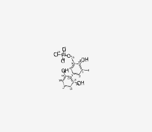 Cc1cccc(C)c1O.O=P(Cl)(Cl)Cl.Oc1cccc(O)c1